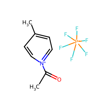 CC(=O)[n+]1ccc(C)cc1.F[P-](F)(F)(F)(F)F